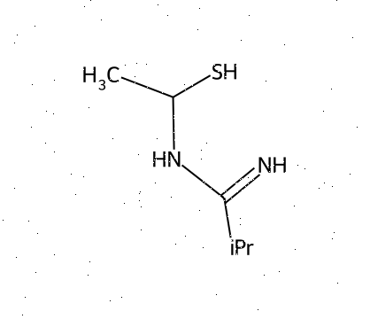 CC(S)NC(=N)C(C)C